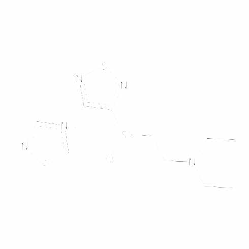 CCN(CC)CC[S+]([O-])c1nsnc1-n1ccnc1